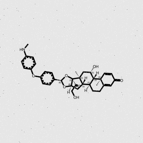 CNc1ccc(Oc2ccc([C@@H]3O[C@@H]4C[C@H]5[C@@H]6CCC7=CC(=O)C=C[C@]7(C)[C@H]6[C@@H](O)C[C@]5(C)[C@]4(C(=O)CO)O3)cc2)cc1